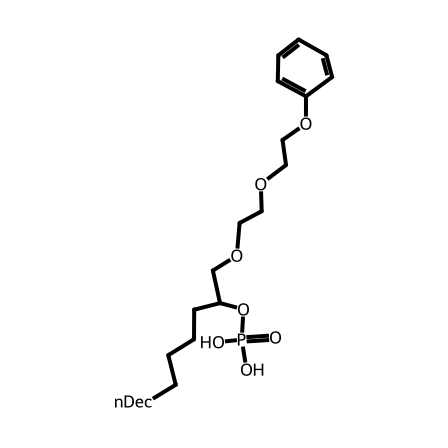 CCCCCCCCCCCCCCC(COCCOCCOc1ccccc1)OP(=O)(O)O